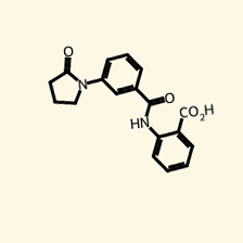 O=C(Nc1ccccc1C(=O)O)c1cccc(N2CCCC2=O)c1